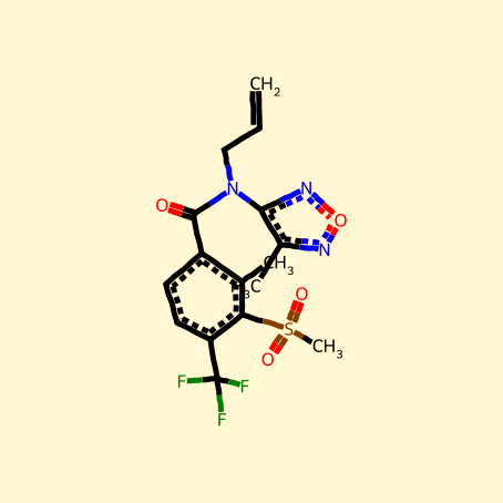 C=CCN(C(=O)c1ccc(C(F)(F)F)c(S(C)(=O)=O)c1C)c1nonc1C